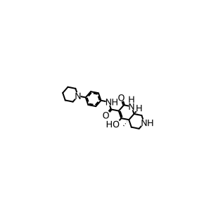 C[C@@]12CCNC[C@H]1NC(=O)C(C(=O)Nc1ccc(N3CCCCC3)cc1)=C2O